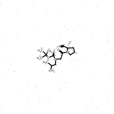 CC(C)CN(CC(=O)N1CCC[C@]1(I)C#N)C(=O)OC(C)(C)C